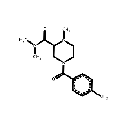 Cc1ccc(C(=O)N2CCN(C)C(C(=O)N(C)C)C2)cc1